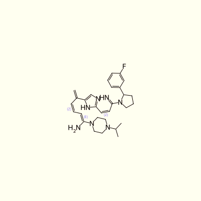 C=C(/C=C\C=C(/N)N1CCN(C(C)C)CC1)c1cnc(/C=C\C(=N)N2CCCC2c2cccc(F)c2)[nH]1